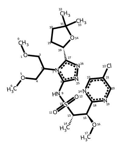 COCC(COC)n1c(NS(=O)(=O)[C@@H](C)[C@H](OC)c2ncc(Cl)cn2)nnc1[C@@H]1CCC(C)(C)O1